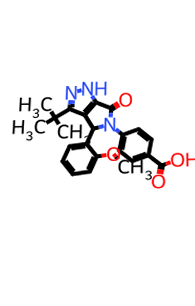 COc1ccccc1C1c2c(C(C)(C)C)n[nH]c2C(=O)N1c1ccc(C(=O)O)cc1